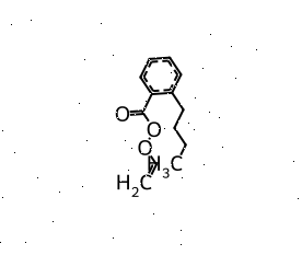 C=COOC(=O)c1ccccc1CCCC